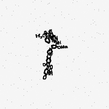 COc1cc(N2CCN(Cc3cc4c(cc3F)C(=O)N(C3CCC(=O)NC3=O)C4=O)CC2)ccc1Nc1ncc(Cl)c(Nc2ccccc2P(C)(C)=O)n1